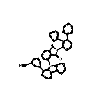 N#Cc1cccc(-c2cccc3c4ccccc4n(-c4cccc5c4C(=O)N(c4cccc(-c6ccccc6)c4-c4ccccc4)C5=O)c23)c1